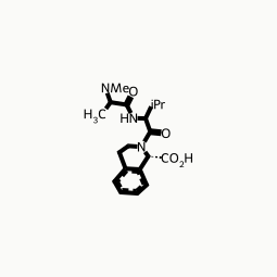 CNC(C)C(=O)NC(C(=O)N1CCc2ccccc2[C@H]1C(=O)O)C(C)C